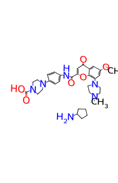 COc1cc(N2CCN(C)CC2)c2oc(C(=O)Nc3ccc(N4CCN(C(=O)O)CC4)cc3)cc(=O)c2c1.NC1CCCC1